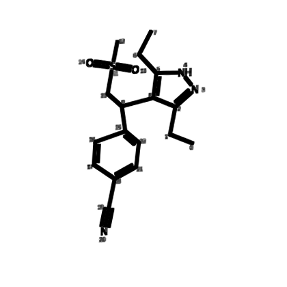 CCc1n[nH]c(CC)c1C(CS(C)(=O)=O)c1ccc(C#N)cc1